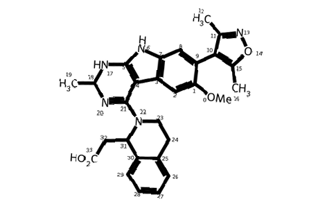 COc1cc2c3c([nH]c2cc1-c1c(C)noc1C)NC(C)N=C3N1CCc2ccccc2C1CC(=O)O